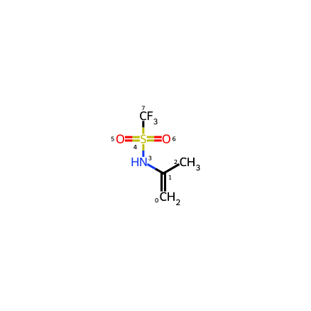 C=C(C)NS(=O)(=O)C(F)(F)F